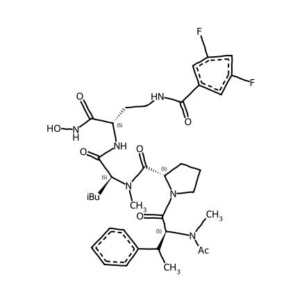 CCC(C)[C@@H](C(=O)N[C@@H](CCNC(=O)c1cc(F)cc(F)c1)C(=O)NO)N(C)C(=O)[C@@H]1CCCN1C(=O)[C@H](C(C)c1ccccc1)N(C)C(C)=O